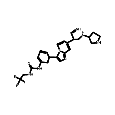 N=CC(CNC1CCNC1)c1ccn2c(C3C=CC=C(NC(=O)NCC(F)(F)F)C3)cnc2c1